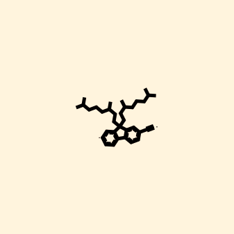 [C]#Cc1ccc2c(c1)C(CCC(C)CCCC(C)C)(CCC(C)CCCC(C)C)c1c[c]ccc1-2